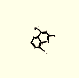 Cc1cc(C(C)C)c2cccc(F)c2n1